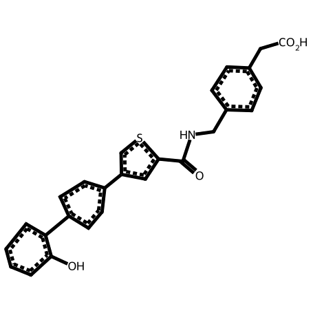 O=C(O)Cc1ccc(CNC(=O)c2cc(-c3ccc(-c4ccccc4O)cc3)cs2)cc1